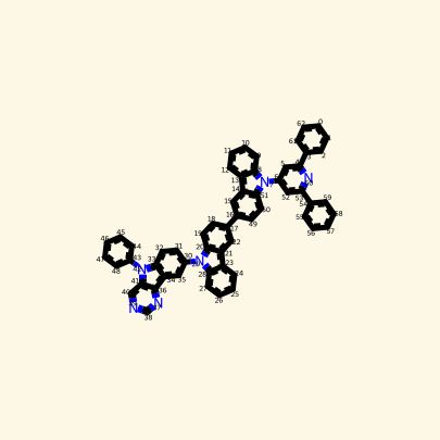 c1ccc(-c2cc(-n3c4ccccc4c4cc(-c5ccc6c(c5)c5ccccc5n6-c5ccc6c(c5)c5ncncc5n6-c5ccccc5)ccc43)cc(-c3ccccc3)n2)cc1